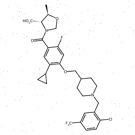 C[C@H]1OCN(C(=O)c2cc(C3CC3)c(OCC3CCN(Cc4cc(C(F)(F)F)ccc4Cl)CC3)cc2F)[C@@H]1C(=O)O